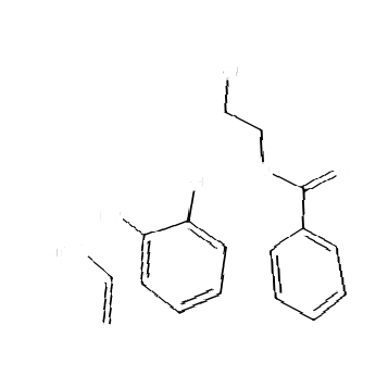 C=CC(=O)O.O=C(OCCO)c1ccccc1.Oc1ccccc1O